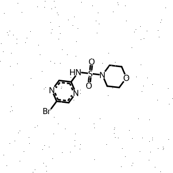 O=S(=O)(Nc1cnc(Br)cn1)N1CCOCC1